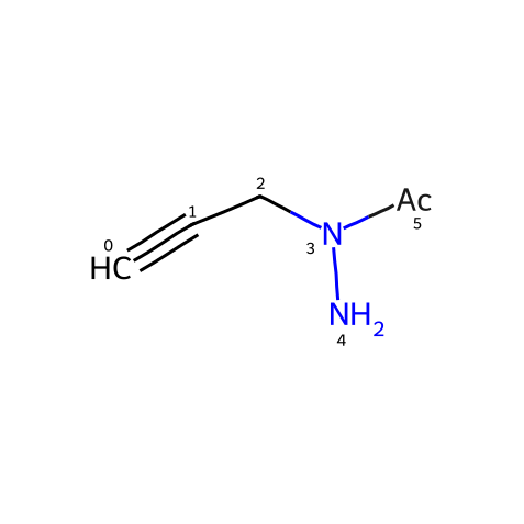 C#CCN(N)C(C)=O